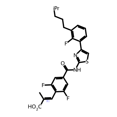 C/C(=C\c1c(F)cc(C(=O)Nc2nc(-c3cccc(CCCC(C)C)c3F)cs2)cc1F)C(=O)O